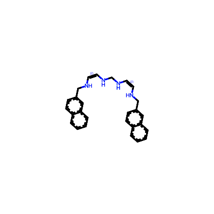 C(=C/NCc1ccc2ccccc2c1)/NCN/C=C\NCc1ccc2ccccc2c1